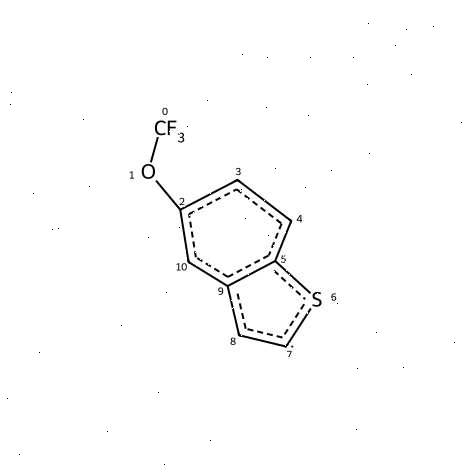 FC(F)(F)Oc1ccc2s[c]cc2c1